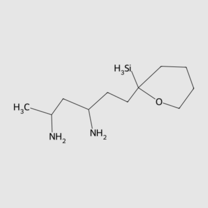 CC(N)CC(N)CCC1([SiH3])CCCCO1